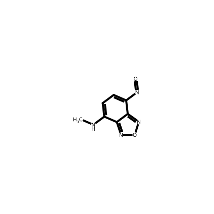 CNc1ccc(N=O)c2nonc12